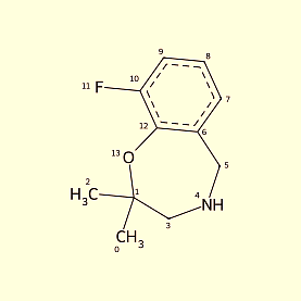 CC1(C)CNCc2cccc(F)c2O1